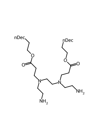 CCCCCCCCCCCCOC(=O)CCN(CCN)CCN(CCN)CCC(=O)OCCCCCCCCCCCC